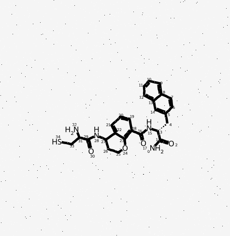 NC(=O)[C@@H](Cc1ccc2ccccc2c1)NC(=O)c1cccc2c1OCCC2NC(=O)C(N)CS